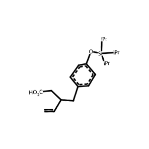 C=CC(CC(=O)O)Cc1ccc(O[Si](C(C)C)(C(C)C)C(C)C)cc1